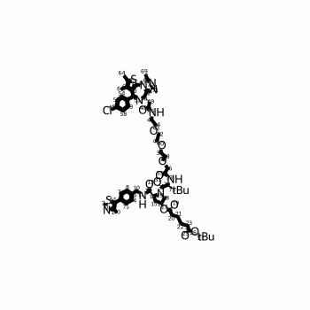 Cc1ncsc1-c1ccc(CNC(=O)[C@@H]2C[C@@H](OC(=O)CCCCC(=O)OC(C)(C)C)CN2C(=O)[C@@H](NC(=O)COCCOCCOCCNC(=O)C[C@@H]2N=C(c3ccc(Cl)cc3)c3c(sc(C)c3C)-n3c(C)nnc32)C(C)(C)C)cc1